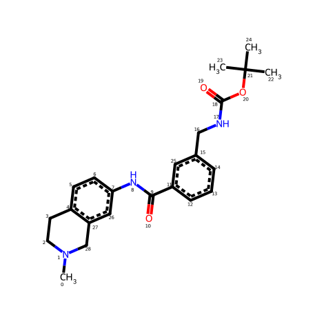 CN1CCc2ccc(NC(=O)c3cccc(CNC(=O)OC(C)(C)C)c3)cc2C1